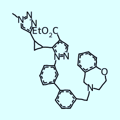 CCOC(=O)c1cnn(-c2cccc(-c3cccc(CN4CCOc5ccccc5C4)c3)c2)c1C1CC1c1cn(C)nn1